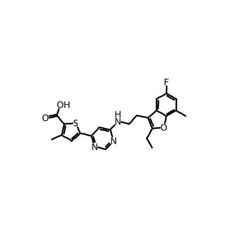 CCc1oc2c(C)cc(F)cc2c1CCNc1cc(-c2cc(C)c(C(=O)O)s2)ncn1